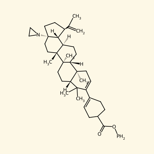 C=C(C)[C@@H]1CC[C@]2(N3CC3)CC[C@]3(C)[C@H](CC[C@@H]4[C@@]5(C)CC=C(C6=CCC(C(=O)OP)CC6)C(C)(C)[C@@H]5CC[C@]43C)[C@@H]12